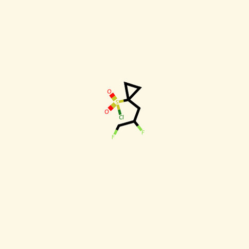 O=S(=O)(Cl)C1(CC(F)CF)CC1